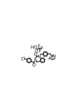 CN1CCN=C1Cc1ccc(CN2C(=O)CN(C(=O)c3ccc(Cl)cc3)Cc3ccccc32)cc1.O=C(O)C(F)(F)F